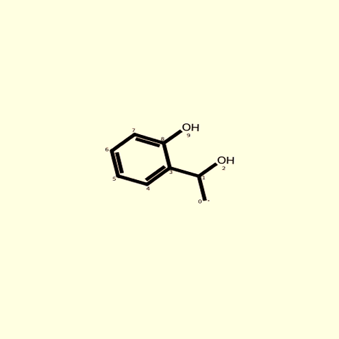 [CH2]C(O)c1ccccc1O